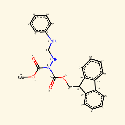 CC(C)(C)OC(=O)N(NCNc1ccccc1)C(=O)OCC1c2ccccc2-c2ccccc21